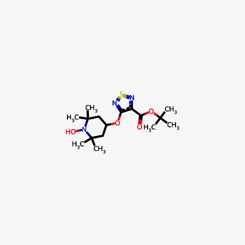 CC(C)(C)OC(=O)c1nsnc1OC1CC(C)(C)N(O)C(C)(C)C1